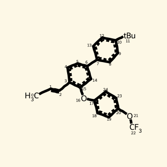 C/C=C/c1ccc(-c2ccc(C(C)(C)C)cc2)cc1Oc1ccc(OC(F)(F)F)cc1